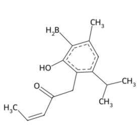 Bc1c(C)cc(C(C)C)c(CC(=O)/C=C\C)c1O